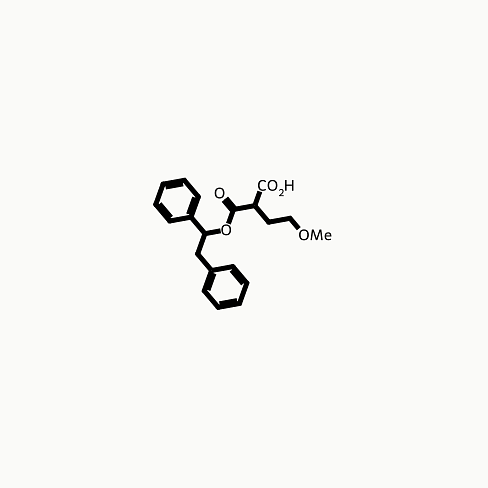 COCCC(C(=O)O)C(=O)OC(Cc1ccccc1)c1ccccc1